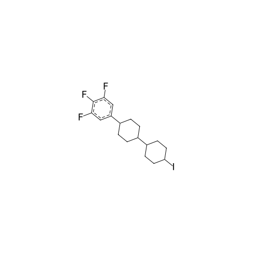 Fc1cc(C2CCC(C3CCC(I)CC3)CC2)cc(F)c1F